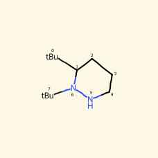 CC(C)(C)C1CCCNN1C(C)(C)C